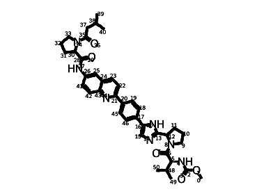 COC(=O)N[C@H](C(=O)N1CCCC1c1ncc(-c2ccc(-c3ccc4cc(NC(=O)C5CCCN5C(=O)CC(C)C)ccc4n3)cc2)[nH]1)C(C)C